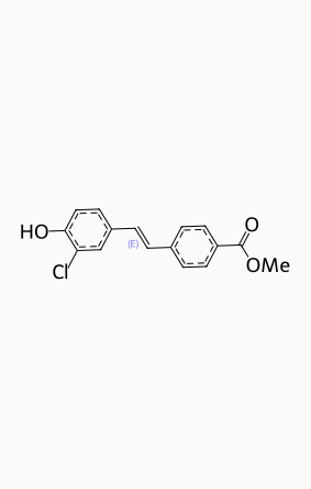 COC(=O)c1ccc(/C=C/c2ccc(O)c(Cl)c2)cc1